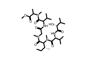 CC[C@@H](C)C(C(=O)N(C)CC(=O)NC(C(=O)N(C)C(C)C(=O)OC)C(C)C)N(C)C(=O)[C@@H](NC(=O)[C@H](O)C(C)C)C(C)C